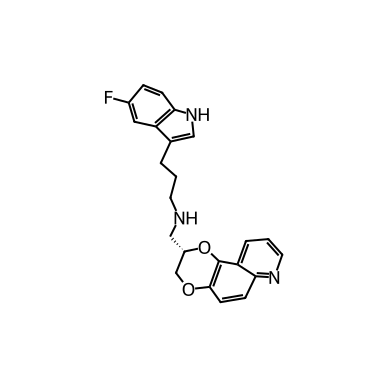 Fc1ccc2[nH]cc(CCCNC[C@H]3COc4ccc5ncccc5c4O3)c2c1